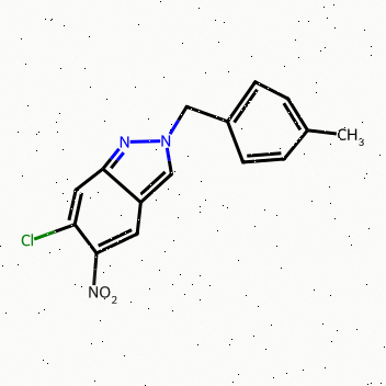 Cc1ccc(Cn2cc3cc([N+](=O)[O-])c(Cl)cc3n2)cc1